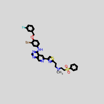 CN(CCc1nc(-c2cc3c(Nc4ccc(OCc5cccc(F)c5)c(Br)c4)ncnc3cn2)cs1)CCS(=O)(=O)c1ccccc1